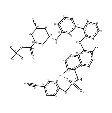 Cc1ccc2c(NS(=O)(=O)Cc3ccc(C#N)cc3)c(F)ccc2c1Oc1ncccc1-c1ccnc(N[C@H]2C[C@H](F)CN(C(=O)OC(C)(C)C)C2)n1